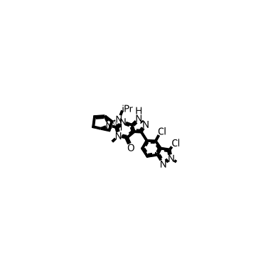 CC(C)N[C@@H]1CC2CC=C1N2c1nc2[nH]nc(-c3ccc4nn(C)c(Cl)c4c3Cl)c2c(=O)n1C